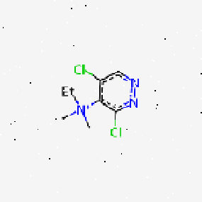 CC[N+](C)(C)c1c(Cl)cnnc1Cl